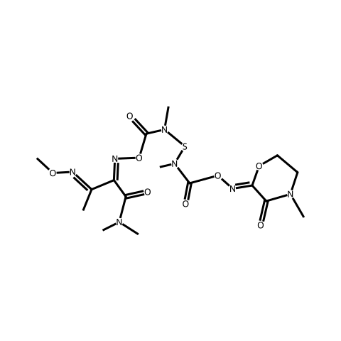 CON=C(C)C(=NOC(=O)N(C)SN(C)C(=O)ON=C1OCCN(C)C1=O)C(=O)N(C)C